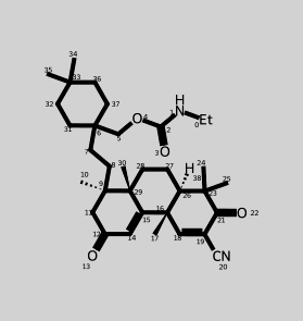 CCNC(=O)OCC1(CC[C@]2(C)CC(=O)C=C3[C@@]4(C)C=C(C#N)C(=O)C(C)(C)[C@@H]4CC[C@]32C)CCC(C)(C)CC1